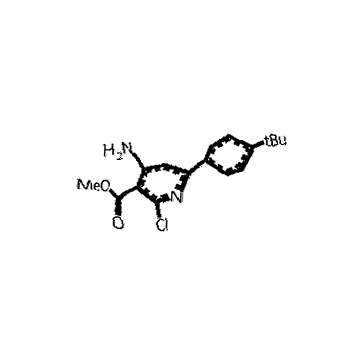 COC(=O)c1c(N)cc(-c2ccc(C(C)(C)C)cc2)nc1Cl